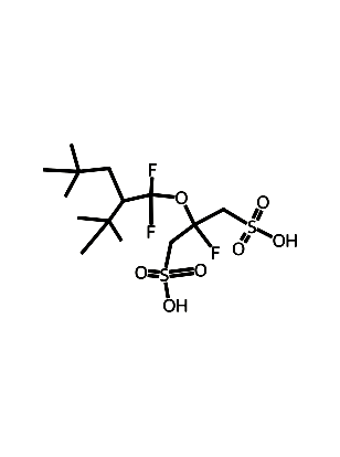 CC(C)(C)CC(C(C)(C)C)C(F)(F)OC(F)(CS(=O)(=O)O)CS(=O)(=O)O